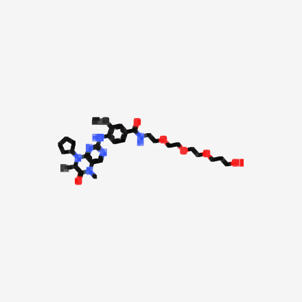 CC[C@@H]1C(=O)N(C)c2cnc(Nc3ccc(C(=O)NCCOCCOCCOCCCO)cc3OC)nc2N1C1CCCC1